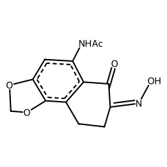 CC(=O)Nc1cc2c(c3c1C(=O)/C(=N\O)CC3)OCO2